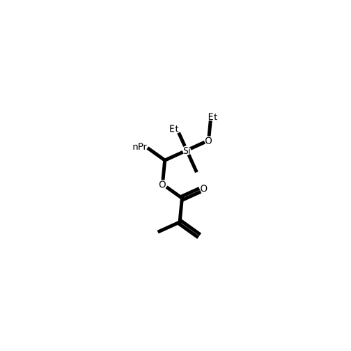 C=C(C)C(=O)OC(CCC)[Si](C)(CC)OCC